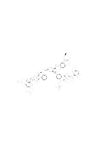 C#CCN1C(=O)COc2cc(F)c(/N=c3\snc4n3CC(C)(C)C4)cc21.COc1nc(C)nc(NC(=O)NS(=O)(=O)c2ccccc2CCC(F)(F)F)n1.O=C(Nc1nc(OC(F)F)cc(OC(F)F)n1)NS(=O)(=O)c1ccccc1C(=O)O